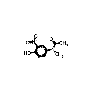 CC(=O)N(C)c1ccc(O)c([N+](=O)[O-])c1